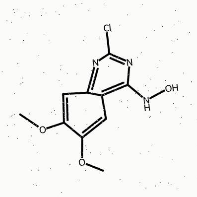 COc1cc2nc(Cl)nc(NO)c2cc1OC